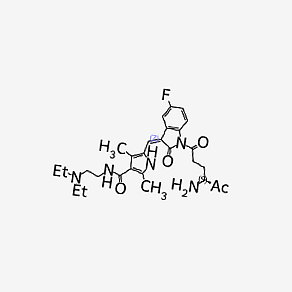 CCN(CC)CCNC(=O)c1c(C)[nH]c(/C=C2\C(=O)N(C(=O)CC[C@H](N)C(C)=O)c3ccc(F)cc32)c1C